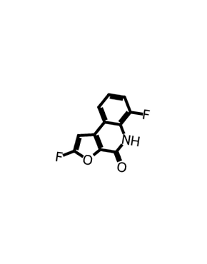 O=c1[nH]c2c(F)cccc2c2cc(F)oc12